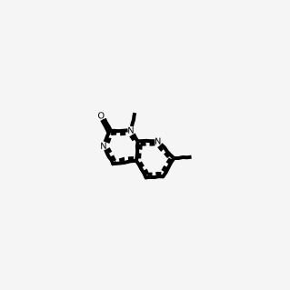 Cc1ccc2cnc(=O)n(C)c2n1